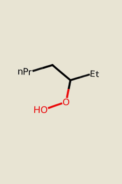 [CH2]CC(CCCC)OO